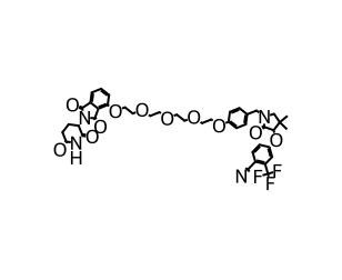 CC1(C)CN(Cc2ccc(OCCOCCOCCOCCOc3cccc4c3C(=O)N(C3CCC(=O)NC3=O)C4=O)cc2)C(=O)C1Oc1ccc(C#N)c(C(F)(F)F)c1